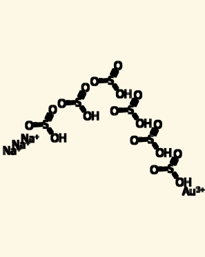 O=S([O-])O.O=S([O-])O.O=S([O-])O.O=S([O-])O.O=S([O-])O.O=S([O-])O.[Au+3].[Na+].[Na+].[Na+]